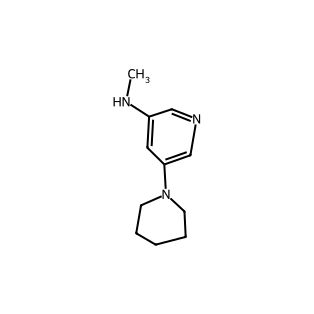 CNc1cncc(N2CCCCC2)c1